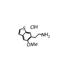 COc1cc2ccsc2cc1CCN.Cl